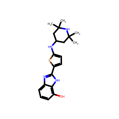 CC1(C)CC(Nc2ccc(-c3nc4cccc(O)c4[nH]3)s2)CC(C)(C)N1